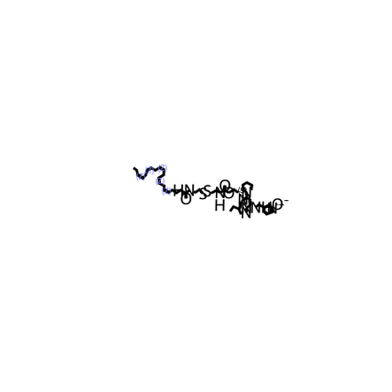 CC/C=C\C/C=C\C/C=C\C/C=C\C/C=C\CCCC(=O)NCCSSCCNC(=O)OCC[C@@H]1CCCCN1c1cc(NCc2ccc[n+]([O-])c2)n2ncc(CC)c2n1